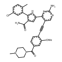 COc1cc(C(=O)N2CCN(C)CC2)ccc1C#Cc1cnc(N)nc1-c1cc(C(N)=O)c(-c2cc(Cl)ccc2C)[nH]1